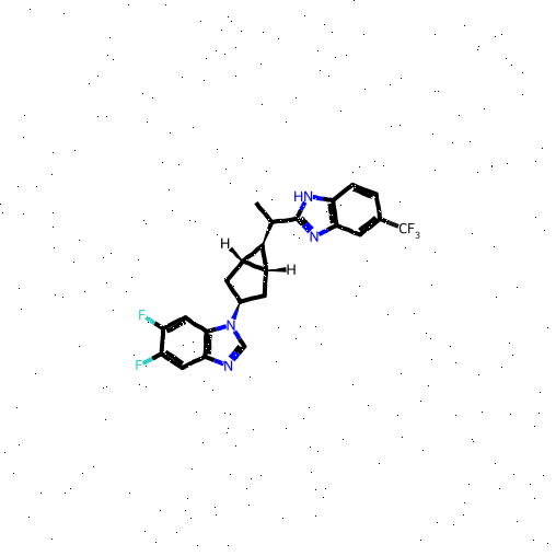 CC(c1nc2cc(C(F)(F)F)ccc2[nH]1)[C@H]1[C@@H]2C[C@@H](n3cnc4cc(F)c(F)cc43)C[C@@H]21